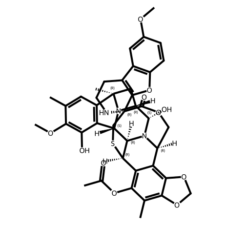 COc1ccc2oc3c(c2c1)CCN[C@]31CS[C@@H]2c3c(OC(C)=O)c(C)c4c(c3[C@H](COC1=O)N1[C@@H]2[C@@H]2c3c(cc(C)c(OC)c3O)[C@@]3(C)C[C@H]([C@@H]1O)N23)OCO4